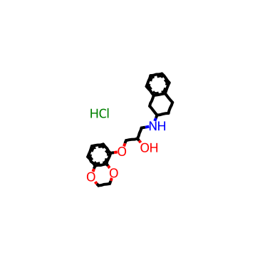 Cl.OC(CNC1CCc2ccccc2C1)COc1cccc2c1OCCO2